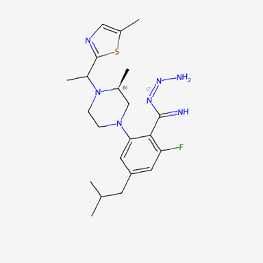 Cc1cnc(C(C)N2CCN(c3cc(CC(C)C)cc(F)c3C(=N)/N=N\N)C[C@@H]2C)s1